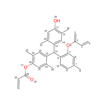 C=CC(=C)Oc1cc(C)ccc1C(c1cc(C)c(O)cc1C)c1cc(C)c(OC(=O)C=C)cc1C